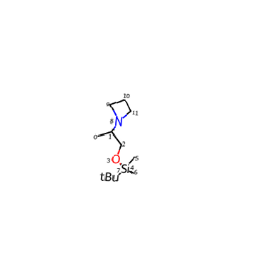 CC(CO[Si](C)(C)C(C)(C)C)N1CCC1